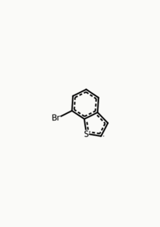 Brc1cccc2c[c]sc12